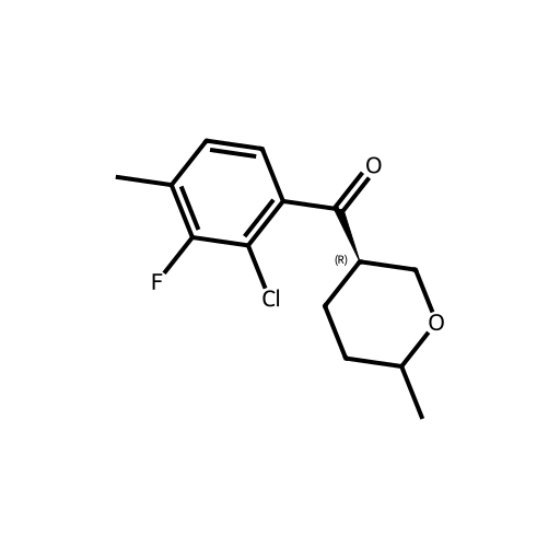 Cc1ccc(C(=O)[C@@H]2CCC(C)OC2)c(Cl)c1F